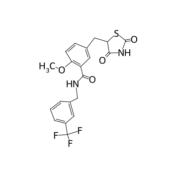 COc1ccc(CC2SC(=O)NC2=O)cc1C(=O)NCc1cccc(C(F)(F)F)c1